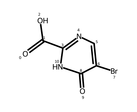 O=C(O)c1ncc(Br)c(=O)[nH]1